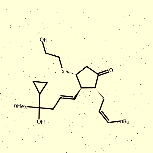 CCCC/C=C\C[C@H]1C(=O)C[C@@H](SCCO)[C@@H]1/C=C/CC(O)(CCCCCC)C1CC1